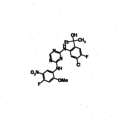 CCC(C)(O)c1cc(F)c(Cl)cc1Nc1ncnc(Nc2cc([N+](=O)[O-])c(F)cc2OC)n1